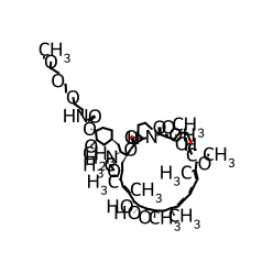 CCOCCOCCOCCNC(=O)O[C@@H]1CC[C@@H](C[C@@H](N)[C@@H]2C[C@@H](OC)[C@H](C)/C=C(\C)[C@@H](O)[C@@H](O)C(=O)[C@H](C)C[C@H](C)/C=C/C=C/C=C(\C)[C@@H](OC)C[C@@H]3CC[C@@H](C)[C@@](O)(O3)C(=O)C(=O)N3CCCC[C@H]3C(=O)O2)C[C@H]1OC